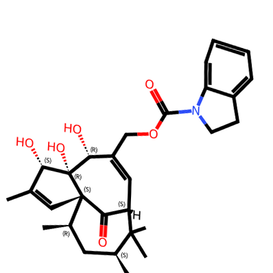 CC1=C[C@]23C(=O)[C@@H](C=C(COC(=O)N4CCc5ccccc54)[C@@H](O)[C@]2(O)[C@H]1O)C(C)(C)[C@@H](C)C[C@H]3C